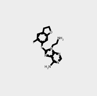 NCCn1c(Sc2cc3c(cc2I)CCO3)nc2c(N)ncnc21